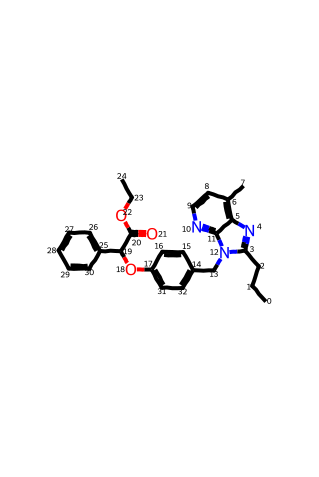 CCCc1nc2c(C)ccnc2n1Cc1ccc(OC(C(=O)OCC)c2ccccc2)cc1